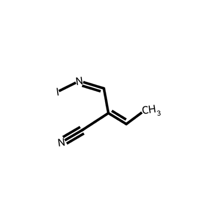 C/C=C(C#N)\C=N/I